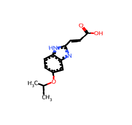 CC(C)Oc1ccc2[nH]c(/C=C/C(=O)O)nc2c1